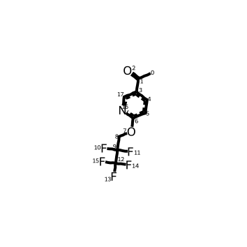 CC(=O)c1ccc(OCC(F)(F)C(F)(F)F)nc1